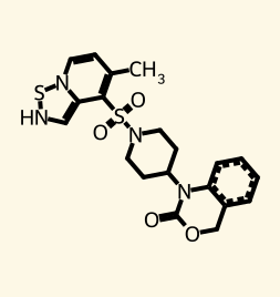 CC1=C(S(=O)(=O)N2CCC(N3C(=O)OCc4ccccc43)CC2)C2=CNSN2C=C1